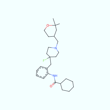 CC1(C)CC(CN2CCC(F)(Cc3ccccc3NC(=O)C3CCCCC3)CC2)CCO1